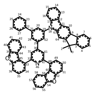 CC1(C)c2ccccc2-c2cc3c4ccccc4n(-c4cc(-c5ccccc5)cc(-c5cc(-c6cccc7oc8ccccc8c67)nc(-c6cccc7oc8ccccc8c67)c5)c4)c3cc21